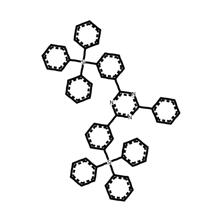 c1ccc(-c2nc(-c3cccc([Si](c4ccccc4)(c4ccccc4)c4ccccc4)c3)nc(-c3cccc([Si](c4ccccc4)(c4ccccc4)c4ccccc4)c3)n2)cc1